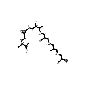 CCC(I)COCC(I)COCC(I)COC(C)C(I)COC1NC1COC(C)C(I)CC